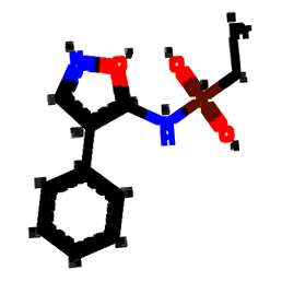 CC(C)CS(=O)(=O)Nc1oncc1-c1ccccc1